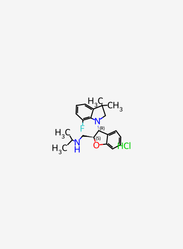 CC(C)NC[C@@H]1Oc2ccccc2[C@H]1N1CC(C)(C)c2cccc(F)c21.Cl